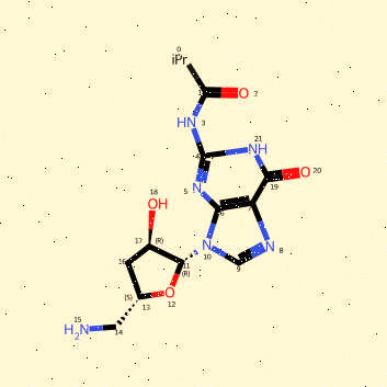 CC(C)C(=O)Nc1nc2c(ncn2[C@@H]2O[C@H](CN)C[C@H]2O)c(=O)[nH]1